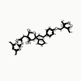 Cc1cc(C)n2nc(CC3=C(O)CC(CCc4ccc(OCc5c(C)noc5C)cc4)(C4CCCC4)OC3=O)nc2n1